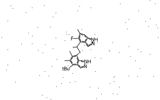 Cc1cc2[nH]ncc2c(C(C)Cc2c(C)c(C)c(C(C)(C)C)c3cn[nH]c23)c1F